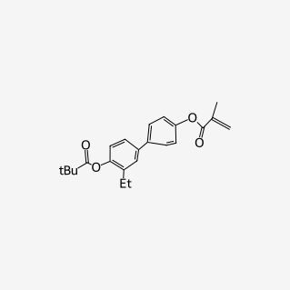 C=C(C)C(=O)Oc1ccc(-c2ccc(OC(=O)C(C)(C)C)c(CC)c2)cc1